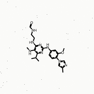 CNc1c(NCCNC=O)nc(Nc2ccc(-n3cnc(C)c3)c(OC)c2)nc1C(C)C